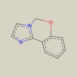 c1ccc2c(c1)OCn1ccnc1-2